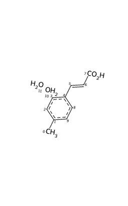 Cc1ccc(C=CC(=O)O)cc1.O.O